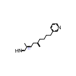 C=C(C/C=C(\C)C=N)CCCCc1cccnc1